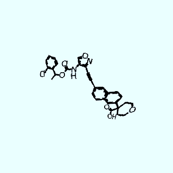 CC(OC(=O)Nc1conc1C#Cc1ccc2cc(C3(C(=O)O)CCOCC3)ccc2c1)c1ccccc1Cl